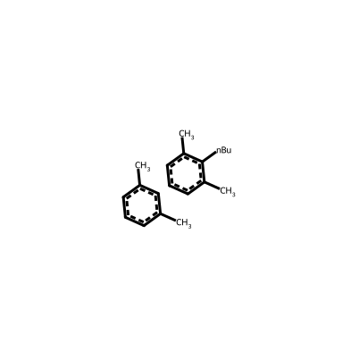 CCCCc1c(C)cccc1C.Cc1cccc(C)c1